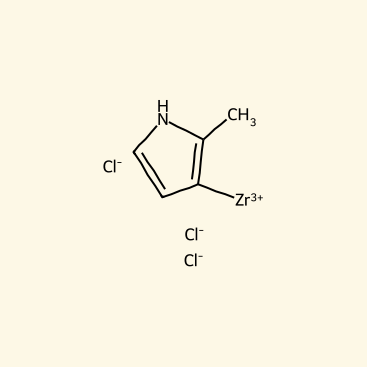 Cc1[nH]cc[c]1[Zr+3].[Cl-].[Cl-].[Cl-]